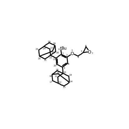 CC(C)(C)c1c(OCC2CO2)cc(C23CC4CC(CC(C4)C2)C3)cc1C12CC3CC(CC(C3)C1)C2